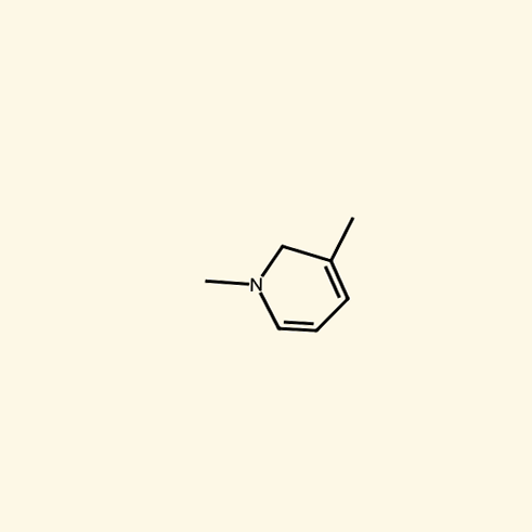 CC1=CC=CN(C)C1